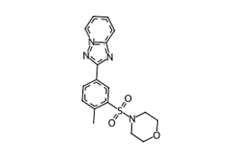 Cc1ccc(-c2nc3ccccn3n2)cc1S(=O)(=O)N1CCOCC1